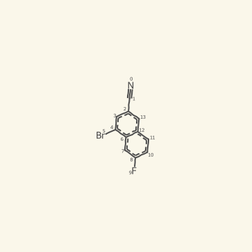 N#Cc1cc(Br)c2cc(F)ccc2c1